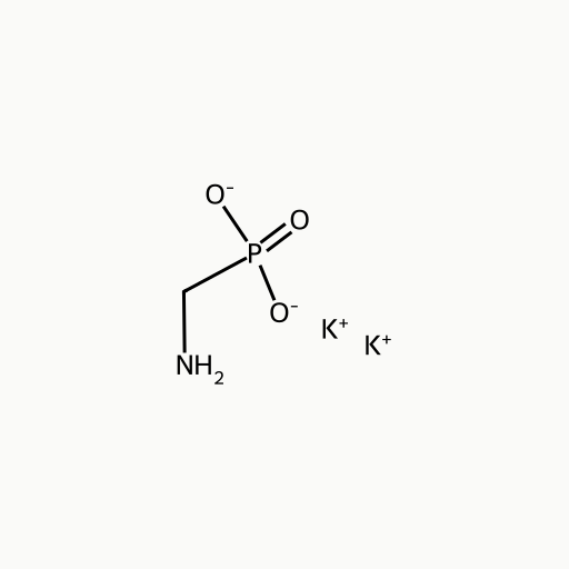 NCP(=O)([O-])[O-].[K+].[K+]